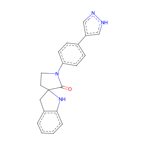 O=C1N(c2ccc(-c3cn[nH]c3)cc2)CCC12Cc1ccccc1N2